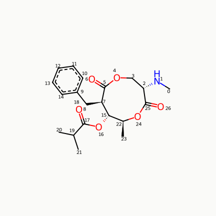 CN[C@H]1COC(=O)[C@H](Cc2ccccc2)[C@@H](OC(=O)C(C)C)[C@H](C)OC1=O